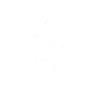 COCC(CCC(F)(CC(C)C)CC(C)C)(COC)C1CCCCC1